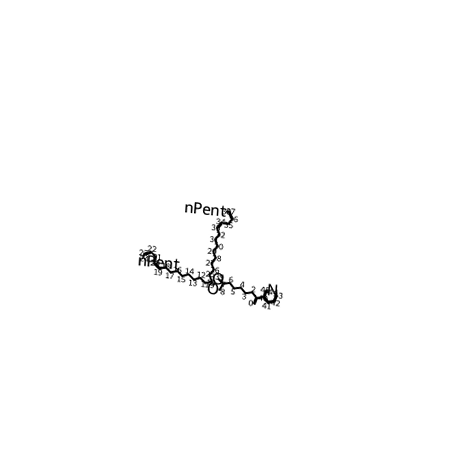 C=C(CCCCCC1COC(CCCCCCCC/C=C\C/C=C\CCCCC)(CCCCCCCC/C=C\C/C=C\CCCCC)O1)c1cccnc1